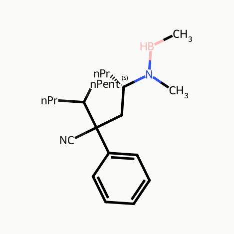 CBN(C)[C@@H](CCC)CC(C#N)(c1ccccc1)C(CCC)CCCCC